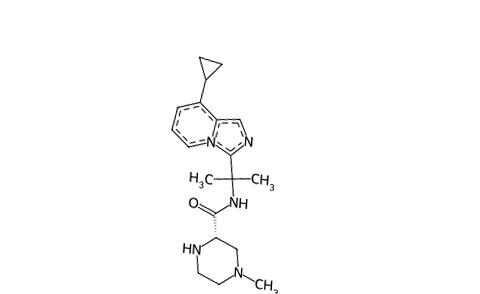 CN1CCN[C@H](C(=O)NC(C)(C)c2ncc3c(C4CC4)cccn23)C1